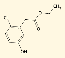 CCOC(=O)Cc1cc(O)ccc1Cl